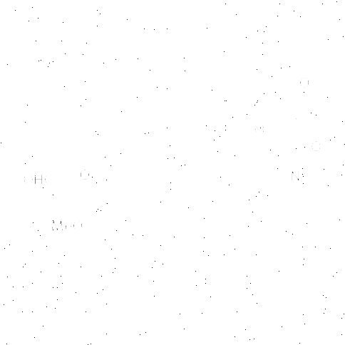 C=CC(=C)C(CCCCc1noc(=O)o1)(OC)OC=O